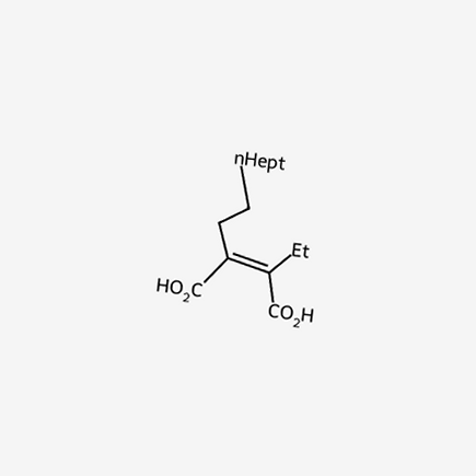 CCCCCCCCC/C(C(=O)O)=C(\CC)C(=O)O